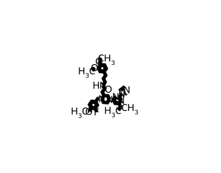 COc1ccc(CN2CCN(c3cc(C(C)C)nc(-n4ccnc4)n3)CC2CC(=O)NCCCc2ccc(OC)c(OC)c2)cc1F